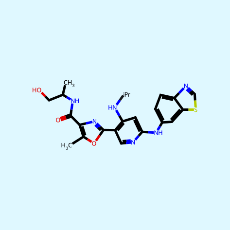 Cc1oc(-c2cnc(Nc3ccc4ncsc4c3)cc2NC(C)C)nc1C(=O)NC(C)CO